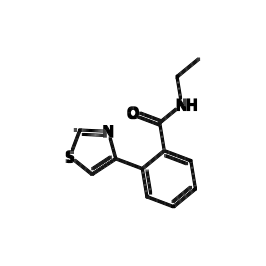 CCNC(=O)c1ccccc1-c1cs[c]n1